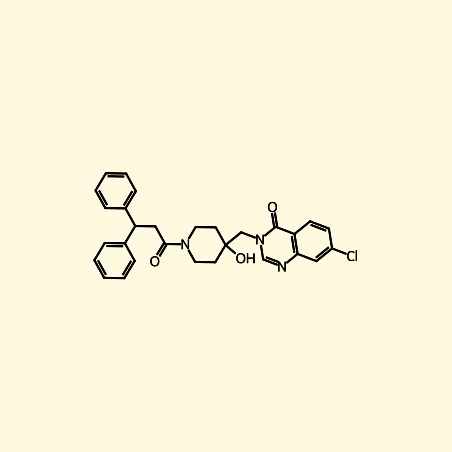 O=C(CC(c1ccccc1)c1ccccc1)N1CCC(O)(Cn2cnc3cc(Cl)ccc3c2=O)CC1